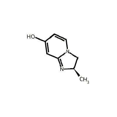 C[C@@H]1CN2C=CC(O)=CC2=N1